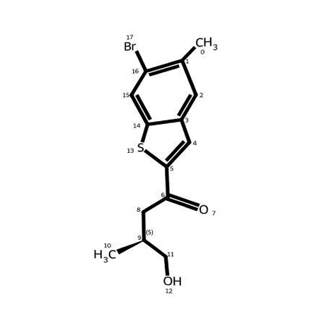 Cc1cc2cc(C(=O)C[C@H](C)CO)sc2cc1Br